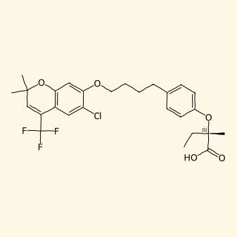 CC[C@](C)(Oc1ccc(CCCCOc2cc3c(cc2Cl)C(C(F)(F)F)=CC(C)(C)O3)cc1)C(=O)O